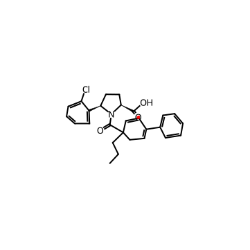 CCCC1(C(=O)N2[C@@H](c3ccccc3Cl)CC[C@H]2C(=O)O)C=CC(c2ccccc2)=CC1